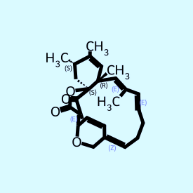 CC1=C[C@]2(C)/C=C(C)/C=C/CC/C=C3C=C/C(=C4\C(=O)O[C@]2(C[C@@H]1C)C4=O)OC/3